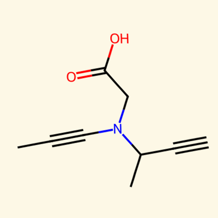 C#CC(C)N(C#CC)CC(=O)O